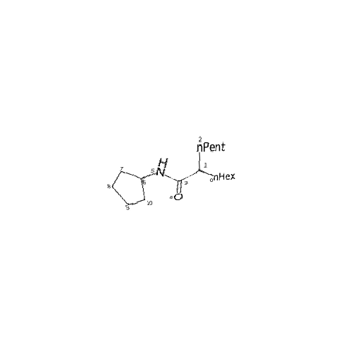 CCCCCCC(CCCCC)C(=O)NC1CCCC1